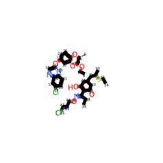 CCOC(=O)[C@@H](C)Oc1ccc(Oc2cnc3cc(Cl)ccc3n2)cc1.CCSC(C)CC1CC(=O)C(/C(CC)=N/OC/C=C/Cl)=C(O)C1